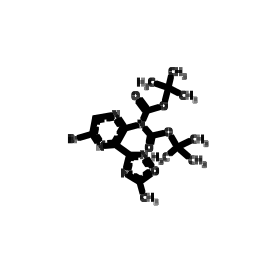 Cc1nc(-c2nc(Br)cnc2N(C(=O)OC(C)(C)C)C(=O)OC(C)(C)C)no1